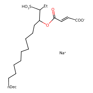 CCCCCCCCCCCCCCCCCCCC(OC(=O)C=CC(=O)[O-])C(CC)S(=O)(=O)O.[Na+]